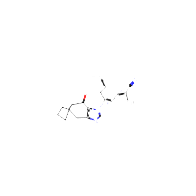 C=CC/C(=C\C=C(/C)C#N)n1cnc2c1C(=O)CC1(CCC1)C2